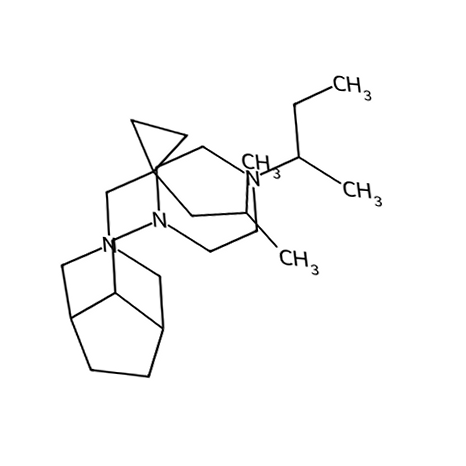 CCC(C)N1CCN(CC2C3CCC2CN(CC2(CC(C)C)CC2)C3)CC1